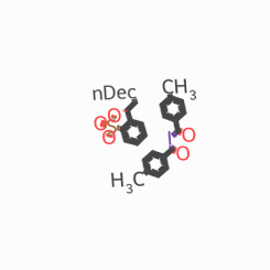 CCCCCCCCCCCCc1ccccc1S(=O)(=O)[O-].Cc1ccc(C(=O)[I+]C(=O)c2ccc(C)cc2)cc1